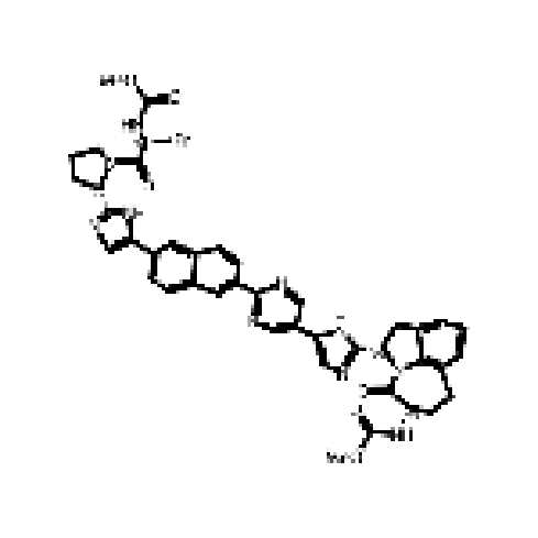 COC(=O)N[C@H]1CCc2cccc3c2N(C1=O)[C@H](c1ncc(-c2cnc(-c4ccc5cc(-c6cnc([C@@H]7CCCN7C(=O)[C@@H](NC(=O)OC)C(C)C)[nH]6)ccc5c4)nc2)[nH]1)C3